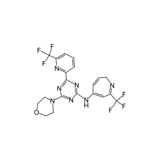 FC(F)(F)C1=NCC=CC(Nc2nc(-c3cccc(C(F)(F)F)n3)nc(N3CCOCC3)n2)=C1